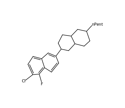 CCCCCC1CCC2CC(c3ccc4c(F)c(Cl)ccc4c3)CCC2C1